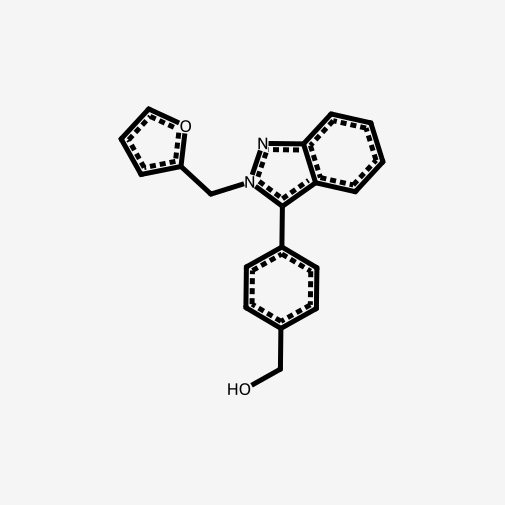 OCc1ccc(-c2c3ccccc3nn2Cc2ccco2)cc1